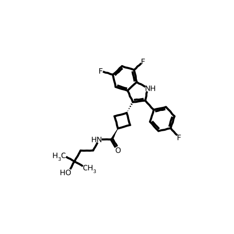 CC(C)(O)CCNC(=O)[C@H]1C[C@H](c2c(-c3ccc(F)cc3)[nH]c3c(F)cc(F)cc32)C1